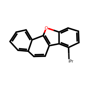 CC(C)c1cccc2oc3c4ccccc4ccc3c12